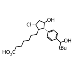 CC(C)(C)C(O)c1ccc([C@@H]2[C@@H](CCCCCCC(=O)O)[C@H](Cl)C[C@H]2O)cc1